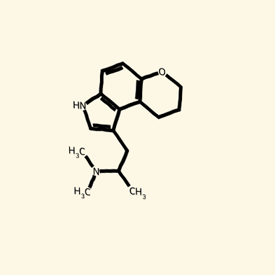 CC(Cc1c[nH]c2ccc3c(c12)CCCO3)N(C)C